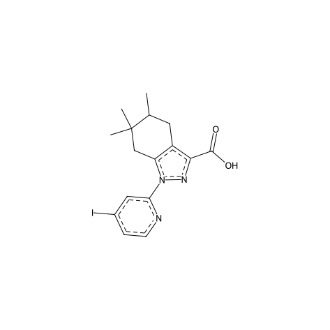 CC1Cc2c(C(=O)O)nn(-c3cc(I)ccn3)c2CC1(C)C